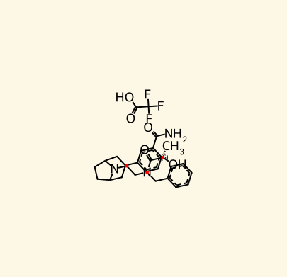 C[C@H](O)C(=O)N(CCN1C2CCC1CC(c1cccc(C(N)=O)c1)C2)Cc1ccccc1.O=C(O)C(F)(F)F